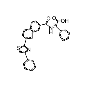 O=C(N[C@H](C(=O)O)c1ccccc1)c1ccc2ccc(-c3nc(-c4ccccc4)cs3)cc2c1